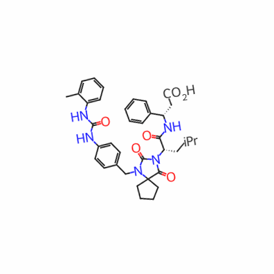 Cc1ccccc1NC(=O)Nc1ccc(CN2C(=O)N([C@@H](CC(C)C)C(=O)N[C@@H](CC(=O)O)c3ccccc3)C(=O)C23CCCC3)cc1